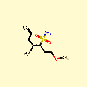 C=CC[C@H](C)[C@H](CCOC)S(N)(=O)=O